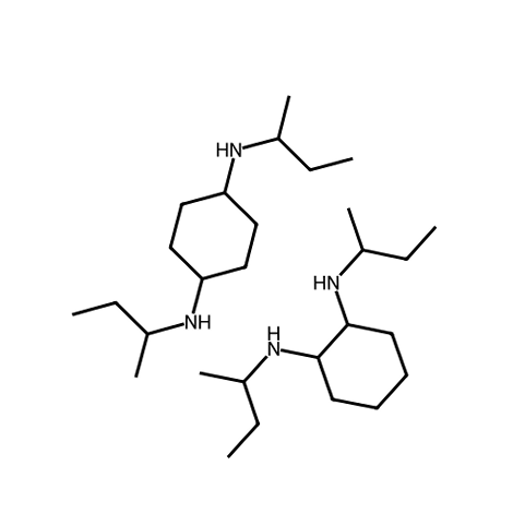 CCC(C)NC1CCC(NC(C)CC)CC1.CCC(C)NC1CCCCC1NC(C)CC